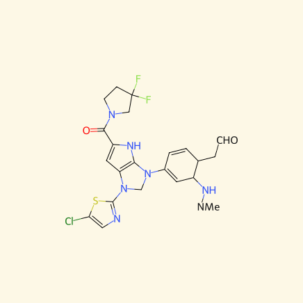 CNNC1C=C(N2CN(c3ncc(Cl)s3)c3cc(C(=O)N4CCC(F)(F)C4)[nH]c32)C=CC1CC=O